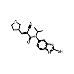 CC(C)N(C(=O)C(C#N)=CC1CCOC1)c1ccc2nc(S)sc2c1